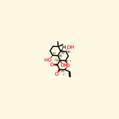 C=C[C@]1(C)O[C@]2(C)C[C@@H](O)[C@H]3C(C)(C)CC[C@H](O)[C@]3(C)[C@@]2(O)C(=O)C1=O